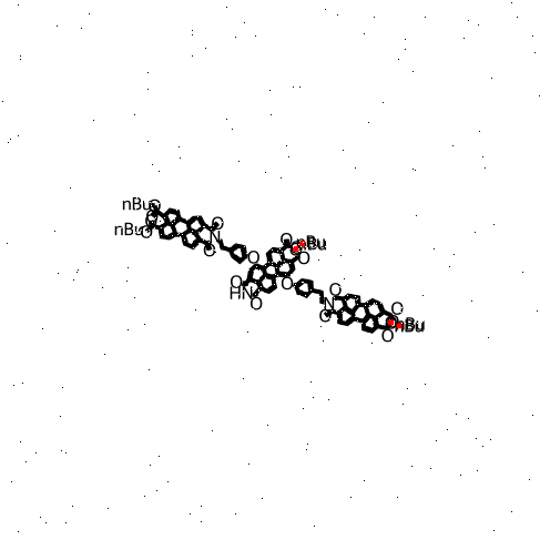 CCCCOC(=O)c1ccc2c3ccc4c5c(ccc(c6ccc(C(=O)OCCCC)c1c26)c53)C(=O)N(CCc1ccc(Oc2cc3c5c(ccc6c7c(Oc8ccc(CCN9C(=O)c%10ccc%11c%12ccc(C(=O)OCCCC)c%13c(C(=O)OCCCC)ccc(c%14ccc(c%10c%11%14)C9=O)c%13%12)cc8)cc(C(=O)OCCCC)c8c(C(=O)OCCCC)ccc(c2c56)c87)C(=O)NC3=O)cc1)C4=O